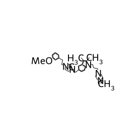 COc1cccc(CCN2CCN(Cc3ccc4c(c3)c(C)c(C)n4CCCN3CCN(C)CC3)CC2)c1